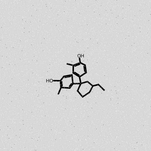 CCC1CCCC(c2ccc(O)c(C)c2)(c2ccc(O)c(C)c2)C1